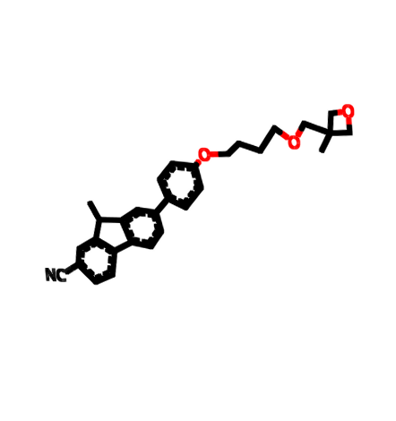 CC1c2cc(C#N)ccc2-c2ccc(-c3ccc(OCCCCOCC4(C)COC4)cc3)cc21